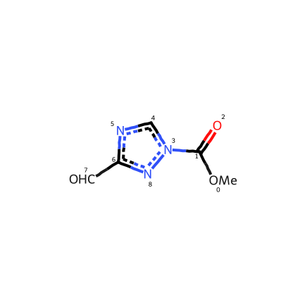 COC(=O)n1cnc(C=O)n1